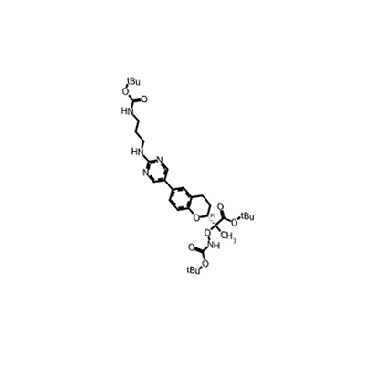 CC(C)(C)OC(=O)NCCCNc1ncc(-c2ccc3c(c2)CC[C@H](C(C)(ONC(=O)OC(C)(C)C)C(=O)OC(C)(C)C)O3)cn1